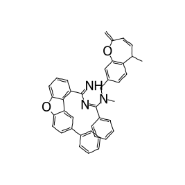 C=C1C=CC(C)c2ccc(CN(C)/C(=N\C(=N)c3cccc4oc5ccc(-c6ccccc6)cc5c34)c3ccccc3)cc2O1